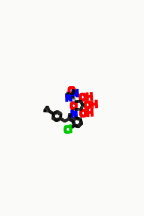 O[C@@H]1[C@@H](O)[C@H](n2cc(Cc3ccc(C4CC4)cc3)c3c(Cl)cccc32)O[C@H](c2ncon2)[C@H]1O